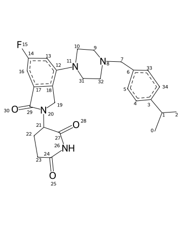 CC(C)c1ccc(CN2CCN(c3cc(F)cc4c3CN(C3CCC(=O)NC3=O)C4=O)CC2)cc1